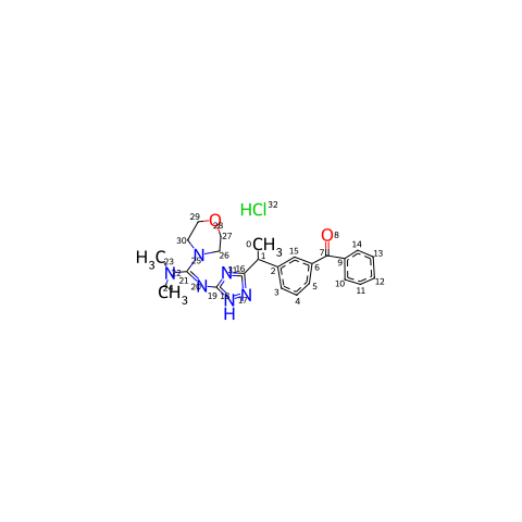 CC(c1cccc(C(=O)c2ccccc2)c1)c1n[nH]c(N=C(N(C)C)N2CCOCC2)n1.Cl